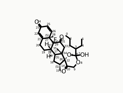 CCCC(CC)C1(O)OCC(=O)[C@@]2(O1)[C@@H](C)C[C@H]1[C@@H]3CCC4=CC(=O)C=C[C@]4(C)[C@@]3(F)C(=O)C[C@@]12C